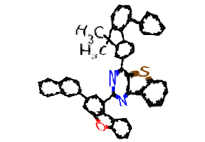 CC1(C)c2cc(-c3nc(-c4cc(-c5ccc6ccccc6c5)cc5oc6ccccc6c45)nc4c3sc3ccccc34)ccc2-c2c(-c3ccccc3)cccc21